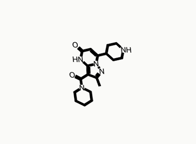 Cc1nn2c(C3CCNCC3)cc(=O)[nH]c2c1C(=O)N1CCCCC1